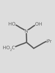 CC(C)CC(C(=O)O)N(O)O